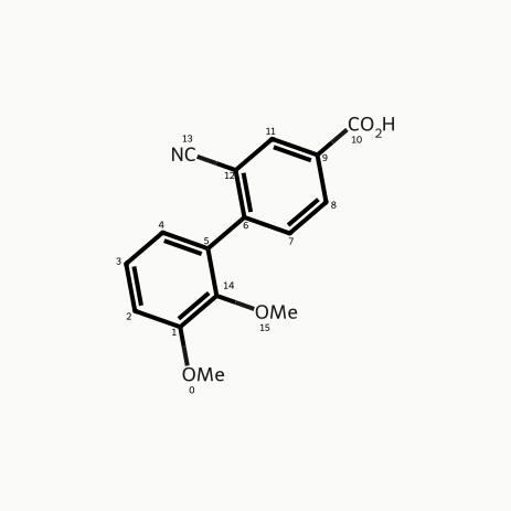 COc1cccc(-c2ccc(C(=O)O)cc2C#N)c1OC